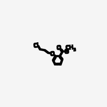 COC(=O)c1ccccc1OCCCCl